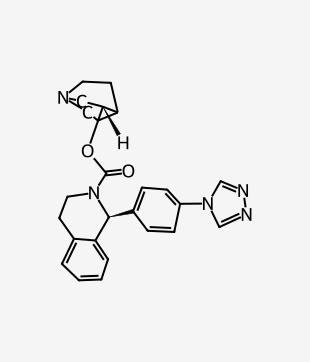 O=C(O[C@@H]1CN2CCC1CC2)N1CCc2ccccc2[C@@H]1c1ccc(-n2cnnc2)cc1